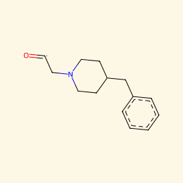 O=[C]CN1CCC(Cc2ccccc2)CC1